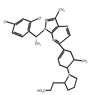 Cc1nn([C@H](C)c2ccc(Cl)cc2Cl)c2nc(C3=CCC(N4CCCC4CCC(=O)O)C(C)C3)cnc12